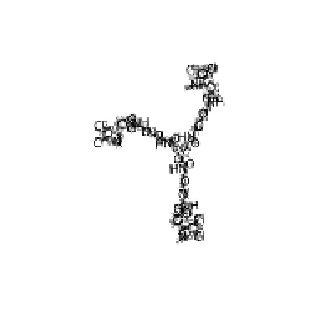 CC(=O)C(CCC(=O)NCCOCCOCCNS(=O)(=O)c1cccc([C@@H]2CN(C)Cc3c(Cl)cc(Cl)cc32)c1)(CCC(=O)NCCOCCOCCNS(=O)(=O)c1cccc([C@@H]2CN(C)Cc3c(Cl)cc(Cl)cc32)c1)CCC(=O)NCCOCCOCCNS(=O)(=O)c1cccc([C@@H]2CN(C)Cc3c(Cl)cc(Cl)cc32)c1